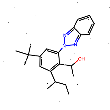 CCC(C)c1cc(C(C)(C)C)cc(-n2nc3ccccc3n2)c1C(C)O